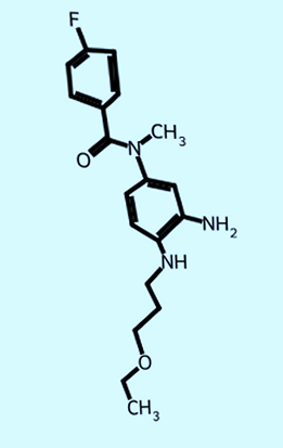 CCOCCCNc1ccc(N(C)C(=O)c2ccc(F)cc2)cc1N